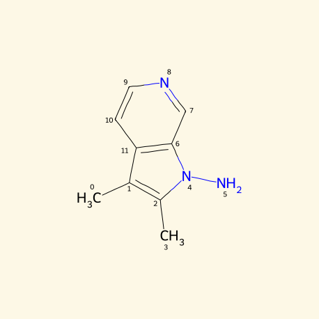 Cc1c(C)n(N)c2cnccc12